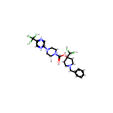 C[C@@H]1CN(c2cnc(C(F)(F)F)cn2)CCN1C(=O)OC1(C(F)F)CCN(Cc2ccccc2)CC1